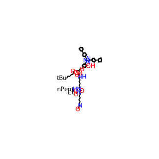 CCCCCC(CC)OC(=O)N(CCCCCCN=C=O)C(=O)NCCCCCCNC(=O)OC(COC(=O)CCCCCC(C)(C)C)COc1ccc(-c2nc(-c3ccc(-c4ccccc4)cc3)nc(-c3ccc(-c4ccccc4)cc3)n2)c(O)c1